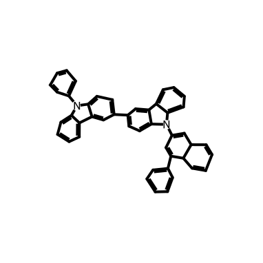 C1=CC2C=C(n3c4ccccc4c4cc(-c5ccc6c(c5)c5ccccc5n6-c5ccccc5)ccc43)C=C(c3ccccc3)C2C=C1